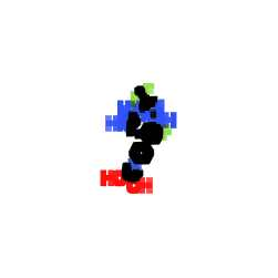 Cc1cc(Nc2nc(Nc3cc(C)c([C@H]4CC[C@@H](N5C[C@@H](O)[C@H](O)C5)CC4)cc3F)ncc2C(C)(F)F)n[nH]1